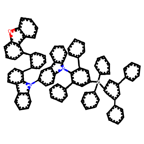 c1ccc(-c2cc(-c3ccccc3)cc([Si](c3ccccc3)(c3ccccc3)c3cc(-c4ccccc4)c(-n4c5ccccc5c5cc(-n6c7ccccc7c7cccc(-c8ccccc8-c8cccc9oc%10ccccc%10c89)c76)ccc54)c(-c4ccccc4)c3)c2)cc1